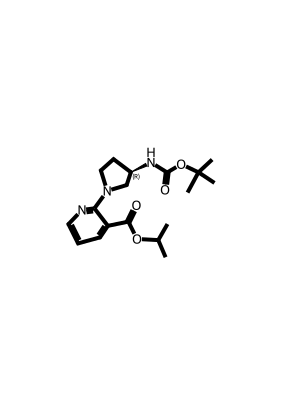 CC(C)OC(=O)c1cccnc1N1CC[C@@H](NC(=O)OC(C)(C)C)C1